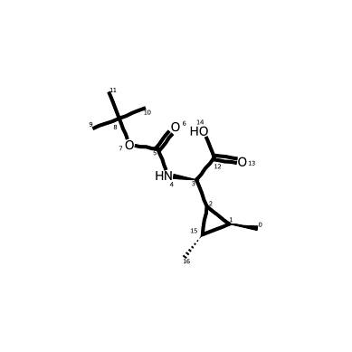 C[C@@H]1C([C@@H](NC(=O)OC(C)(C)C)C(=O)O)[C@H]1C